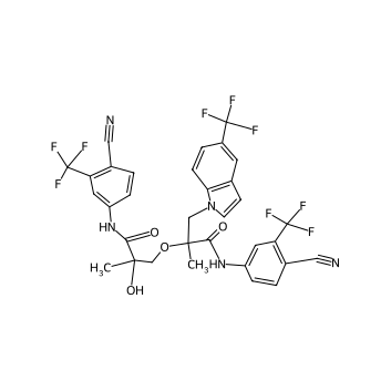 CC(O)(COC(C)(Cn1ccc2cc(C(F)(F)F)ccc21)C(=O)Nc1ccc(C#N)c(C(F)(F)F)c1)C(=O)Nc1ccc(C#N)c(C(F)(F)F)c1